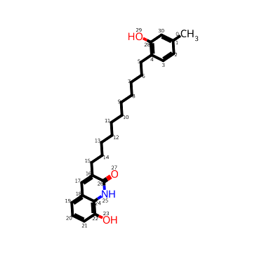 Cc1ccc(CCCCCCCCCCCc2cc3cccc(O)c3[nH]c2=O)c(O)c1